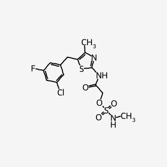 CNS(=O)(=O)OCC(=O)Nc1nc(C)c(Cc2cc(F)cc(Cl)c2)s1